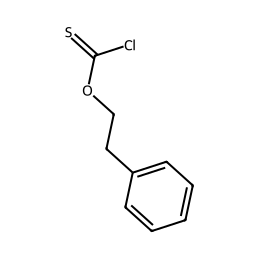 S=C(Cl)OCCc1ccccc1